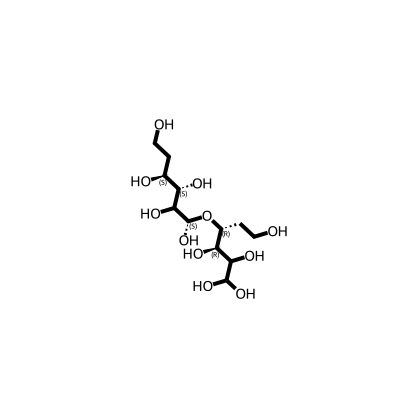 OCC[C@H](O)[C@H](O)C(O)[C@@H](O)O[C@H](CCO)[C@H](O)C(O)C(O)O